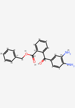 Nc1ccc(C(=O)c2ccccc2C(=O)OCc2ccccc2)cc1N